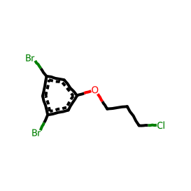 ClCCCOc1cc(Br)cc(Br)c1